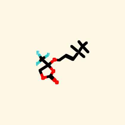 CC(C)(C)[Si](C)(C)C=CCOC1(C(F)(F)F)COC(=O)O1